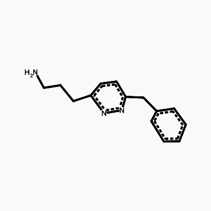 NCCCc1ccc(Cc2ccccc2)nn1